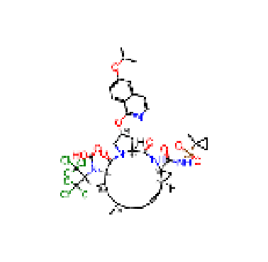 CC(C)Oc1ccc2c(O[C@@H]3C[C@H]4C(=O)N[C@]5(C(=O)NS(=O)(=O)C6(C)CC6)C[C@H]5C=CCC[C@@H](C)C[C@@H](C)[C@H](N(C(=O)O)C(C)(C(Cl)(Cl)Cl)C(Cl)(Cl)Cl)C(=O)N4C3)nccc2c1